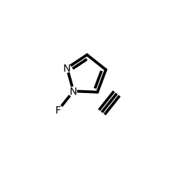 C#C.Fn1cccn1